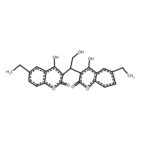 CCc1ccc2oc(=O)c(C(CO)c3c(O)c4cc(CC)ccc4oc3=O)c(O)c2c1